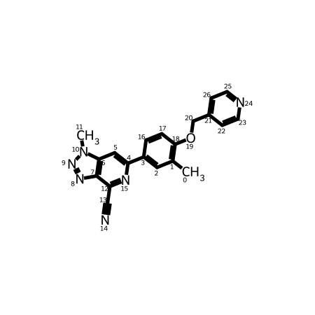 Cc1cc(-c2cc3c(nnn3C)c(C#N)n2)ccc1OCc1ccncc1